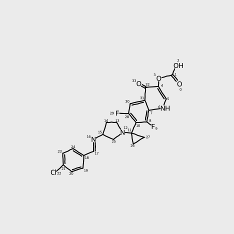 O=C(O)Oc1c[nH]c2c(F)c(C3(N4CCC(N=Cc5ccc(Cl)cc5)C4)CC3)c(F)cc2c1=O